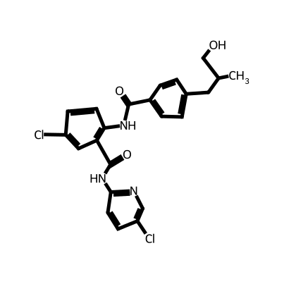 CC(CO)Cc1ccc(C(=O)Nc2ccc(Cl)cc2C(=O)Nc2ccc(Cl)cn2)cc1